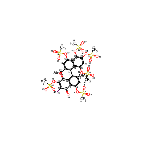 COc1cc(OS(=O)(=O)C(F)(F)F)c2c(c1-c1c(OC)cc(OS(=O)(=O)C(F)(F)F)c3c(OS(=O)(=O)C(F)(F)F)c(OS(=O)(=O)C(F)(F)F)cc(OS(=O)(=O)C(F)(F)F)c13)C(=O)C(OS(=O)(=O)C(F)(F)F)=C(I)C2=O